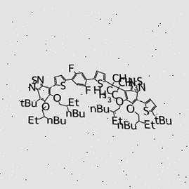 CCCCC(CC)COc1c(OCC(CC)CCCC)c(C(C)(C)C)c2nsnc2c1-c1ccc(-c2cc(F)c(-c3ccc(C(C)(C)C(C)(C)c4c(OCC(CC)CCCC)c(OCC(CC)CCCC)c(-c5ccc(C(C)(C)C)s5)c5nsnc45)s3)cc2F)s1